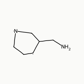 NCC1[CH]CC[N]C1